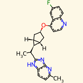 Cc1ccc2[nH]c(C(C)[C@H]3[C@@H]4C[C@@H](Oc5ccnc6ccc(F)cc56)C[C@@H]43)nc2n1